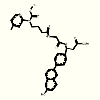 COC(=O)C[C@H](NC(=O)CNC(=O)CCCN(C(=O)OC(C)(C)C)c1cc(C)ccn1)c1ccc(-c2ccc3cc(O)ccc3c2)cc1